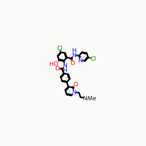 CNCCn1cccc(-c2ccc(C(=O)Nc3c(O)cc(Cl)cc3C(=O)Nc3ccc(Cl)cn3)cc2)c1=O